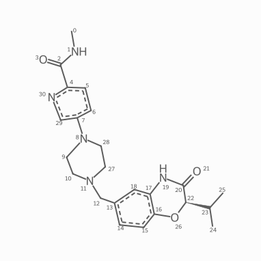 CNC(=O)c1ccc(N2CCN(Cc3ccc4c(c3)NC(=O)[C@@H](C(C)C)O4)CC2)cn1